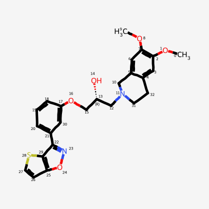 COc1cc2c(cc1OC)CN(C[C@@H](O)COc1cccc(-c3noc4ccsc34)c1)CC2